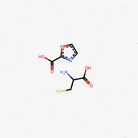 NC(CS)C(=O)O.O=C(O)c1ncco1